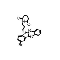 O=C1CCCC(=O)N1CCCn1c2ccc(Br)cc2c2nc3ccccc3nc21